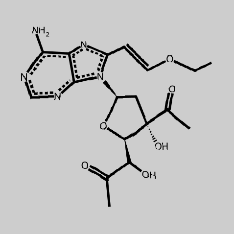 CCOC=Cc1nc2c(N)ncnc2n1[C@H]1C[C@@](O)(C(C)=O)[C@@H](C(O)C(C)=O)O1